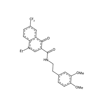 CCn1cc(C(=O)NCCc2ccc(OC)c(OC)c2)c(=O)c2cc(C(F)(F)F)ccc21